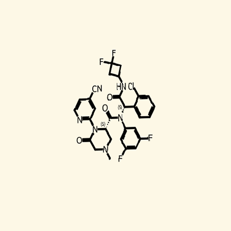 CN1CC(=O)N(c2cc(C#N)ccn2)[C@H](C(=O)N(c2cc(F)cc(F)c2)[C@H](C(=O)NC2CC(F)(F)C2)c2ccccc2Cl)C1